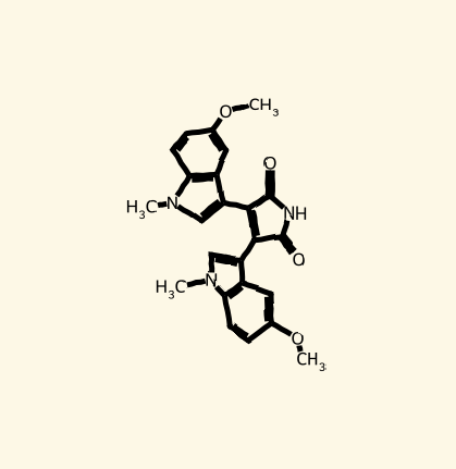 COc1ccc2c(c1)c(C1=C(c3cn(C)c4ccc(OC)cc34)C(=O)NC1=O)cn2C